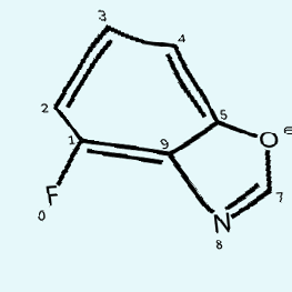 Fc1cccc2ocnc12